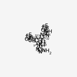 CCOc1c(C(C)n2nc(CF)c3c(N)ncnc32)cc(Cl)c(C)c1-c1ccc(C(=O)N(C)C)nc1.O=C(O)C(F)(F)F.O=C(O)C(F)(F)F